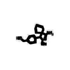 CC(C)(C)CC(c1ccc(CO)cc1)C1(C(N)=O)C=CC=CC1